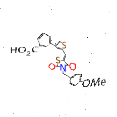 COc1ccc(CN2C(=O)S/C(=C\c3cc(-c4cccc(C(=O)O)c4)cs3)C2=O)cc1